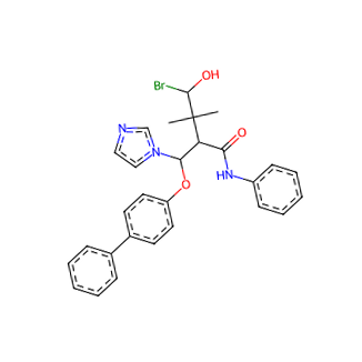 CC(C)(C(O)Br)C(C(=O)Nc1ccccc1)C(Oc1ccc(-c2ccccc2)cc1)n1ccnc1